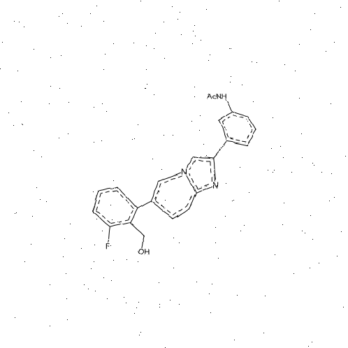 CC(=O)Nc1cccc(-c2cn3cc(-c4cccc(F)c4CO)ccc3n2)c1